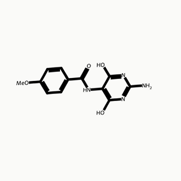 COc1ccc(C(=O)Nc2c(O)nc(N)nc2O)cc1